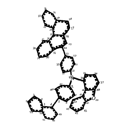 c1ccc2c(-c3ccc(N(c4ccc(-c5cc6ccc7ccccc7c6c6ccccc56)cc4)c4cccc5oc6ccccc6c45)cc3)cccc2c1